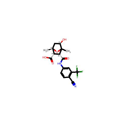 CC12O[C@@](C)(C[C@H]1O)[C@@H](C(=O)O)[C@H]2C(=O)Nc1ccc(C#N)c(C(F)(F)F)c1